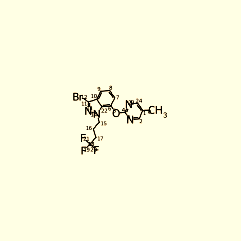 Cc1cnc(Oc2cccc3c(Br)nn(CCCC(F)(F)F)c23)nc1